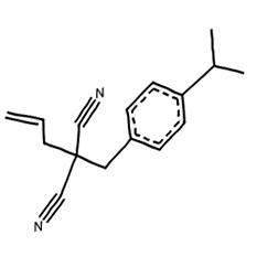 C=CCC(C#N)(C#N)Cc1ccc(C(C)C)cc1